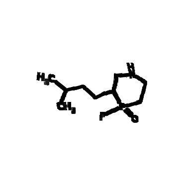 CC(C)CCC1CNCCP1(=O)F